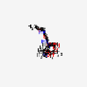 CC[C@H]1OC(=O)[C@H](C)C(=O)[C@H](C)[C@@H](O[C@@H]2O[C@H](C)C[C@H](N(C)C)[C@H]2O)[C@@](C)(OC)C[C@@H](C)C(=NOCCNCCCOCCCNCc2cccc(Oc3ccc(C)cc3)c2)[C@H](C)[C@@H](O)[C@]1(C)O